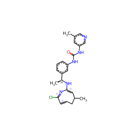 Cc1cncc(NC(=O)Nc2cccc([C@H](C)NC3=C/C(C)C/C=C/C(Cl)=N\3)c2)c1